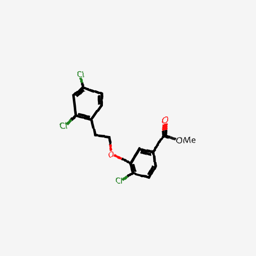 COC(=O)c1ccc(Cl)c(OCCc2ccc(Cl)cc2Cl)c1